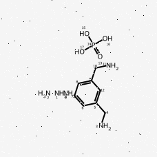 N.N.N.NCc1cccc(CN)c1.O=P(O)(O)O